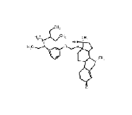 CCC(CC)N(C)C(CC)c1cccc(OCC[C@]23CCC4C5CCC(=O)C=C5C[C@@H](C)C4C2CC[C@]3(C)O)c1